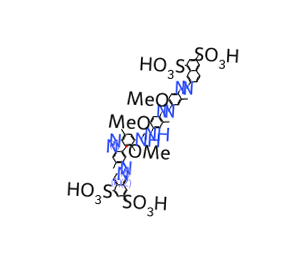 C/C=c1/cc(S(=O)(=O)O)cc(S(=O)(=O)O)/c1=C/C/N=N\c1cc(C)c(/N=N\c2cc(OC)c(NCNc3cc(C)c(N=Nc4cc(C)c(N=Nc5ccc6cc(S(=O)(=O)O)cc(S(=O)(=O)O)c6c5)cc4OC)cc3OC)cc2C)cc1C